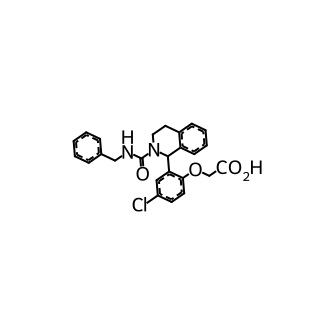 O=C(O)COc1ccc(Cl)cc1C1c2ccccc2CCN1C(=O)NCc1ccccc1